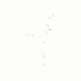 CC(=O)N1CCC2(C1)CN(C(=O)NC1=NN(C)CC1)C1CC(C)C(SON3CCN(C)CC3)C=C12